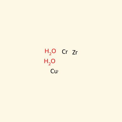 O.O.[Cr].[Cu].[Zr]